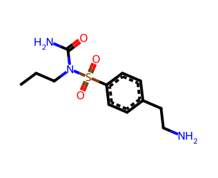 CCCN(C(N)=O)S(=O)(=O)c1ccc(CCN)cc1